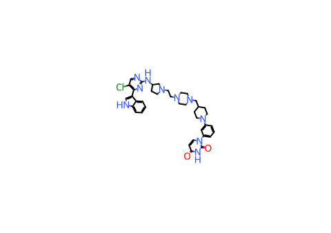 O=c1ccn(-c2cccc(N3CCC(CN4CCN(CCN5CCC(Nc6ncc(Cl)c(-c7c[nH]c8ccccc78)n6)C5)CC4)CC3)c2)c(=O)[nH]1